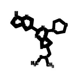 CSN(C)Cc1cc2c(N3CCOCC3)nc(-c3cnc4[nH]ccc4c3)nc2s1